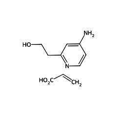 C=CC(=O)O.Nc1ccnc(CCO)c1